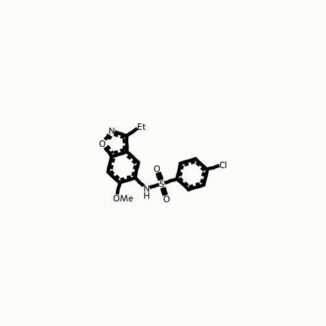 CCc1noc2cc(OC)c(NS(=O)(=O)c3ccc(Cl)cc3)cc12